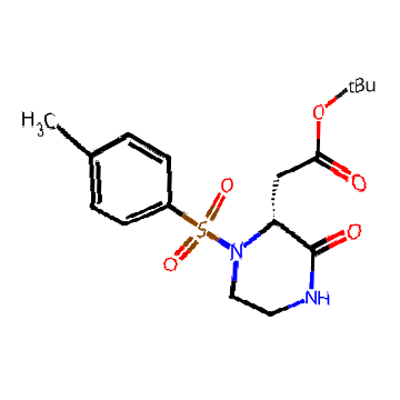 Cc1ccc(S(=O)(=O)N2CCNC(=O)[C@H]2CC(=O)OC(C)(C)C)cc1